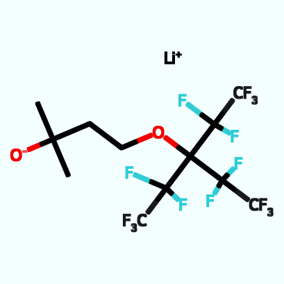 CC(C)([O-])CCOC(C(F)(F)C(F)(F)F)(C(F)(F)C(F)(F)F)C(F)(F)C(F)(F)F.[Li+]